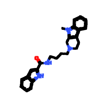 Cn1c2c(c3ccccc31)CCN(CCCCNC(=O)c1cc3ccccc3[nH]1)C2